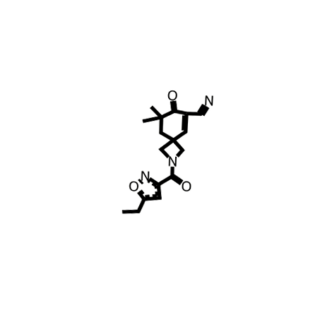 CCc1cc(C(=O)N2CC3(C=C(C#N)C(=O)C(C)(C)C3)C2)no1